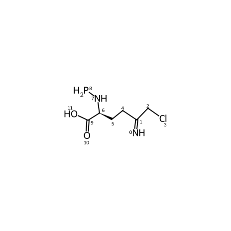 N=C(CCl)CC[C@H](NP)C(=O)O